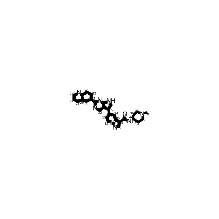 CN1CCC(NC(=O)c2cnn3ccc(-c4c[nH]c5nc(-c6ccc7ncccc7c6)ncc45)cc23)CC1